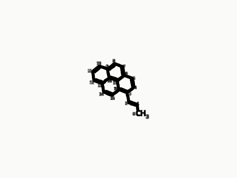 CC=Cc1ccc2ccc3cccc4ccc1c2c34